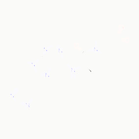 CC[C@@H](Nc1ncnc2c1nc(-c1cnc(C)nc1)n2CC)C(=O)N1CCS(=O)(=O)CC1